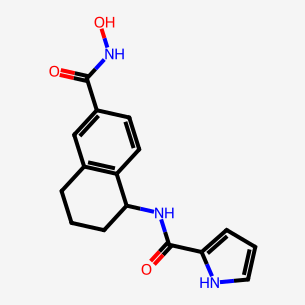 O=C(NO)c1ccc2c(c1)CCCC2NC(=O)c1ccc[nH]1